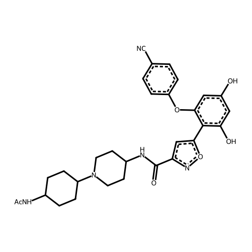 CC(=O)NC1CCC(N2CCC(NC(=O)c3cc(-c4c(O)cc(O)cc4Oc4ccc(C#N)cc4)on3)CC2)CC1